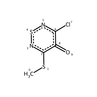 CSc1nsnc(Cl)c1=O